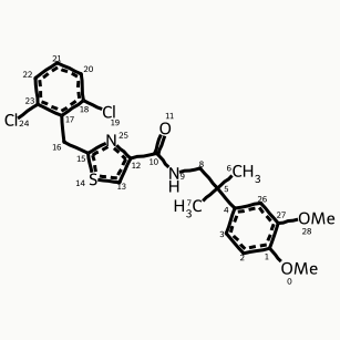 COc1ccc(C(C)(C)CNC(=O)c2csc(Cc3c(Cl)cccc3Cl)n2)cc1OC